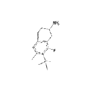 Cc1cc2c(c(F)c1C(C)(C)C)CC(N)CC2